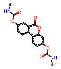 CC(C)NC(=O)Oc1ccc2c(c1)oc(=O)c1cc(OC(=O)NC(C)C)ccc12